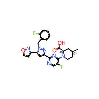 C[C@H]1CCN(c2nc(-c3cc(-c4ccon4)n(Cc4ccccc4F)n3)ncc2F)[C@@H](C(=O)O)C1